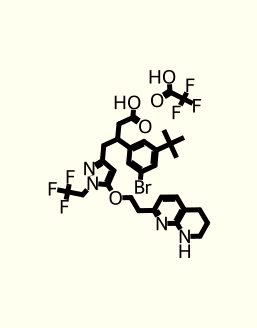 CC(C)(C)c1cc(Br)cc(C(CC(=O)O)Cc2cc(OCCc3ccc4c(n3)NCCC4)n(CC(F)(F)F)n2)c1.O=C(O)C(F)(F)F